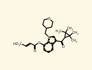 CC1(C)C(C(=O)c2cn(CC3CCOCC3)c3c(OC(=O)/C=C/C(=O)O)cccc23)C1(C)C